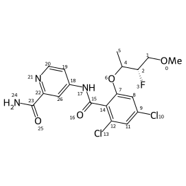 COC[C@H](F)C(C)Oc1cc(Cl)cc(Cl)c1C(=O)Nc1ccnc(C(N)=O)c1